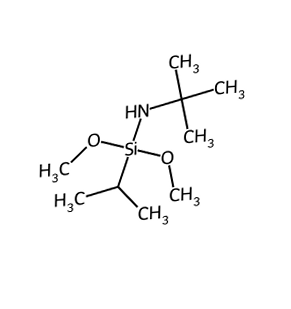 CO[Si](NC(C)(C)C)(OC)C(C)C